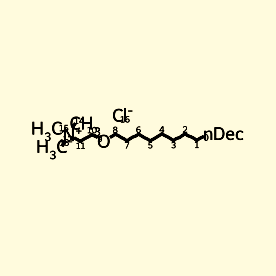 CCCCCCCCCCCCCCCCCCOCC[N+](C)(C)C.[Cl-]